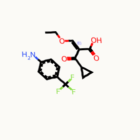 CCO/C=C(/C(=O)O)C(=O)C1CC1.Nc1ccc(C(F)(F)F)cc1